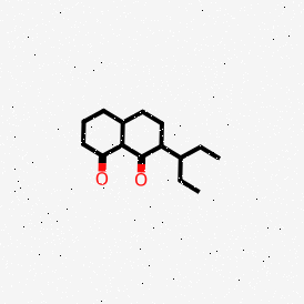 CCC(CC)C1CCC2CCCC(=O)C2C1=O